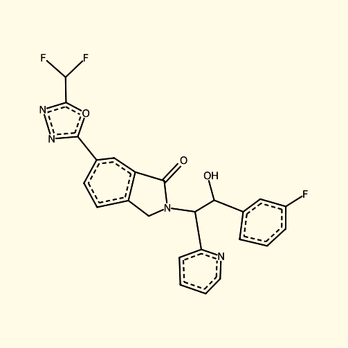 O=C1c2cc(-c3nnc(C(F)F)o3)ccc2CN1C(c1ccccn1)C(O)c1cccc(F)c1